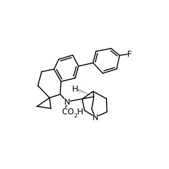 O=C(O)N(C1c2cc(-c3ccc(F)cc3)ccc2CCC12CC2)[C@@H]1CN2CCC1CC2